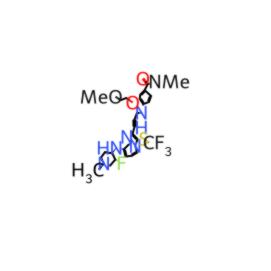 CNC(=O)c1ccc(NCC#Cc2nc3c(N[C@@H]4CCN(C)C[C@@H]4F)cccn3c2SC(F)(F)F)c(OCCOC)c1